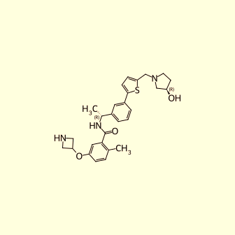 Cc1ccc(OC2CNC2)cc1C(=O)N[C@H](C)c1cccc(-c2ccc(CN3CC[C@@H](O)C3)s2)c1